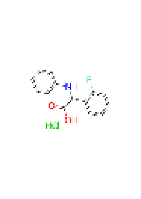 Cl.O=C(O)C(Nc1ccccc1)c1ccccc1F